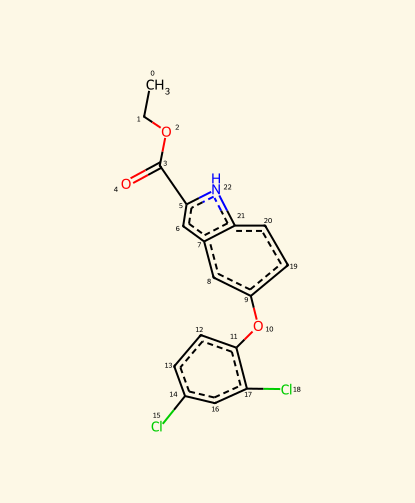 CCOC(=O)c1cc2cc(Oc3ccc(Cl)cc3Cl)ccc2[nH]1